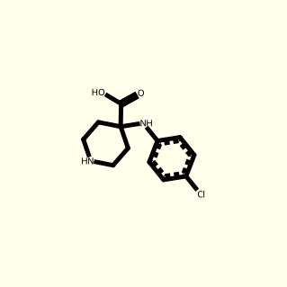 O=C(O)C1(Nc2ccc(Cl)cc2)CCNCC1